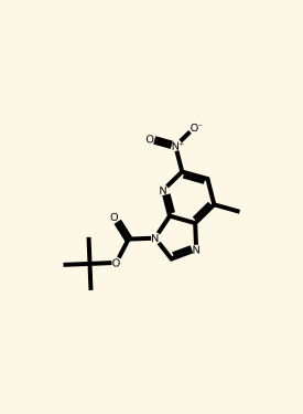 Cc1cc([N+](=O)[O-])nc2c1ncn2C(=O)OC(C)(C)C